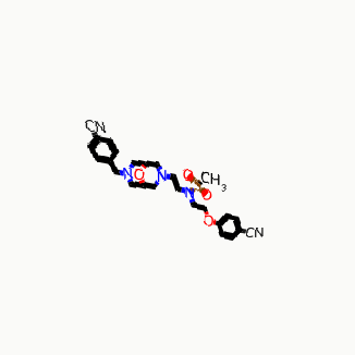 CS(=O)(=O)N(CCOc1ccc(C#N)cc1)CCN1CC2CN(Cc3ccc(C#N)cc3)CC(C1)O2